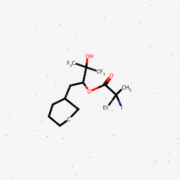 CCC(C)(I)C(=O)OC(CC1CCCCC1)C(O)(C(F)(F)F)C(F)(F)F